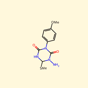 COc1ccc(N2C(=O)NC(SC)N(N)C2=O)cc1